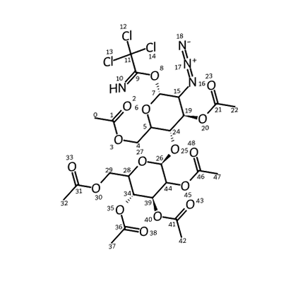 CC(=O)OCC1O[C@H](OC(=N)C(Cl)(Cl)Cl)C(N=[N+]=[N-])[C@@H](OC(C)=O)[C@@H]1O[C@@H]1OC(COC(C)=O)[C@@H](OC(C)=O)[C@H](OC(C)=O)C1OC(C)=O